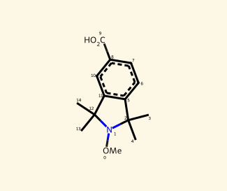 CON1C(C)(C)c2ccc(C(=O)O)cc2C1(C)C